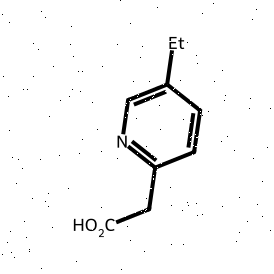 CCc1ccc(CC(=O)O)nc1